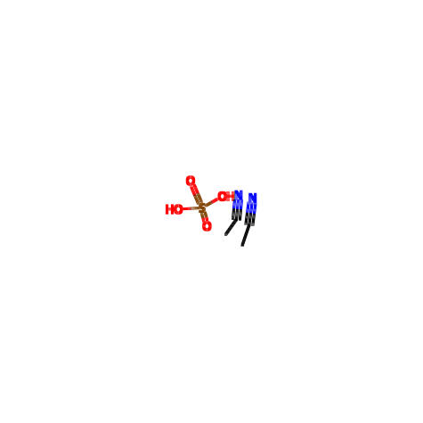 CC#N.CC#N.O=S(=O)(O)O